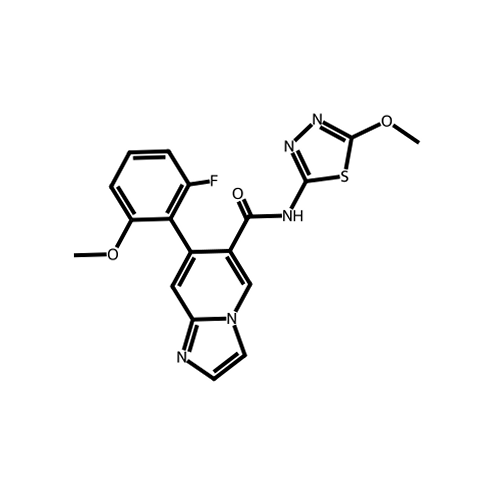 COc1nnc(NC(=O)c2cn3ccnc3cc2-c2c(F)cccc2OC)s1